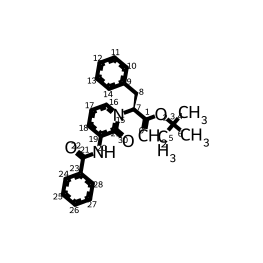 C=C(OC(C)(C)C)[C@H](Cc1ccccc1)n1cccc(NC(=O)c2ccccc2)c1=O